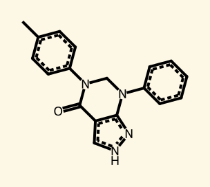 Cc1ccc(N2CN(c3ccccc3)c3n[nH]cc3C2=O)cc1